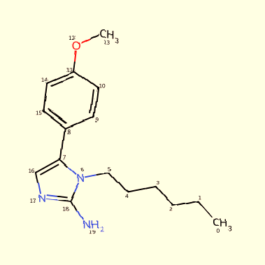 CCCCCCn1c(-c2ccc(OC)cc2)cnc1N